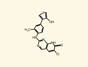 Cc1cc(-c2cscc2O)ccc1Nc1ncc2cc(Cl)c(=O)[nH]c2n1